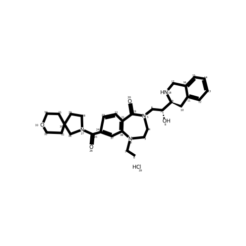 CCN1CCN(C[C@@H](O)[C@@H]2Cc3ccccc3CN2)C(=O)c2ccc(C(=O)N3CCC4(CCOCC4)C3)cc21.Cl